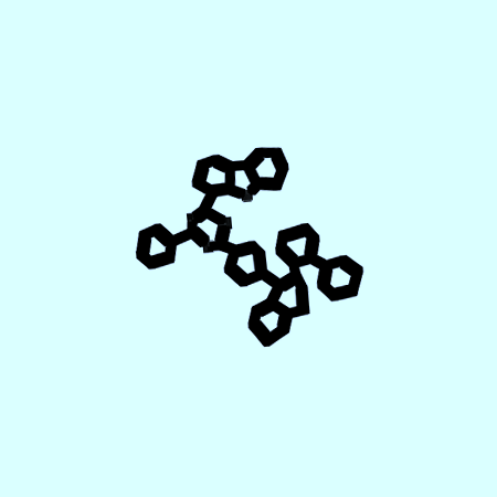 c1ccc(-c2nc(-c3ccc(-c4c(-c5ccccc5-c5ccccc5)ccc5ccccc45)cc3)nc(-c3cccc4c3oc3ccccc34)n2)cc1